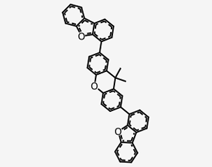 CC1(C)c2cc(-c3cccc4c3oc3ccccc34)ccc2Oc2ccc(-c3cccc4c3oc3ccccc34)cc21